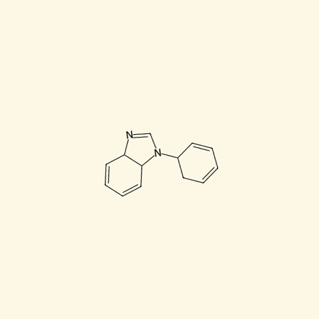 C1=CCC(N2C=NC3C=CC=CC32)C=C1